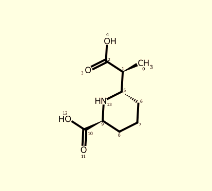 C[C@H](C(=O)O)[C@@H]1CCC[C@@H](C(=O)O)N1